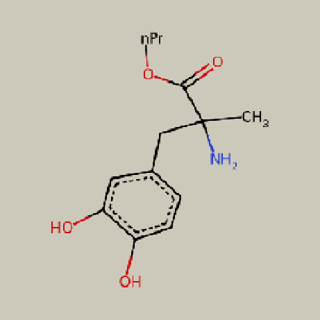 CCCOC(=O)C(C)(N)Cc1ccc(O)c(O)c1